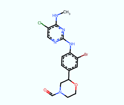 CNc1nc(Nc2ccc(C3CN(C=O)CCO3)cc2Br)ncc1Cl